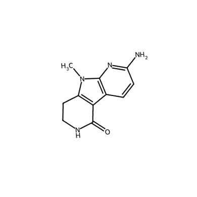 Cn1c2c(c3ccc(N)nc31)C(=O)NCC2